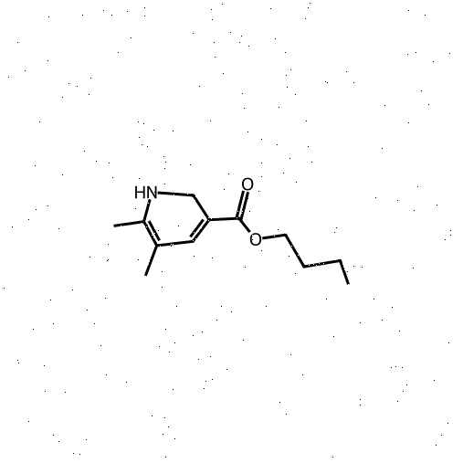 CCCCOC(=O)C1=CC(C)=C(C)NC1